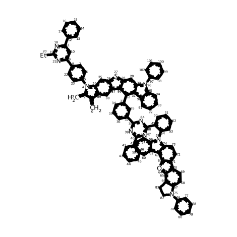 C=c1c(=C)n(-c2ccc(-c3cc(-c4ccccc4)nc(CC)n3)cc2)c2cc3sc4cc5c(c(-c6cccc(-c7nc(-c8ccccc8)nc(-c8ccccc8-n8c9ccccc9c9c%10oc%11c%12c(ccc%11c%10ccc98)N(c8ccccc8)CC%12)n7)c6)c4c3cc12)c1ccccc1n5-c1ccccc1